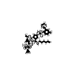 C=CCCCCN(C)C(=O)[C@@H]1C[C@H](OC(=O)Nc2ccc(F)cc2C2=NCCS2)C[C@H]1C(=O)N[C@]1(C(=O)NS(=O)(=O)C2CC2)C[C@H]1C=C